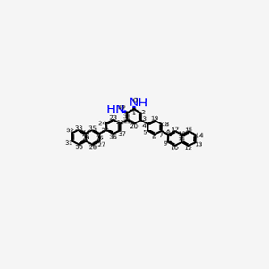 N=C1C=C(c2ccc(-c3ccc4ccccc4c3)cc2)C=C(c2ccc(-c3ccc4ccccc4c3)cc2)C1=N